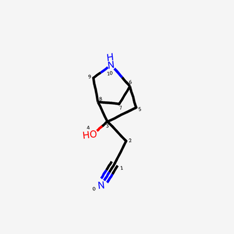 N#CCC1(O)CC2CC1CN2